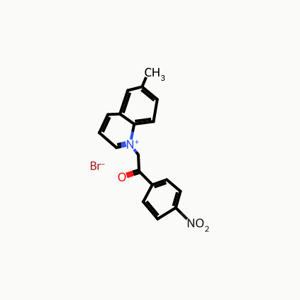 Cc1ccc2c(ccc[n+]2CC(=O)c2ccc([N+](=O)[O-])cc2)c1.[Br-]